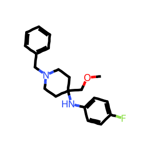 COCC1(Nc2ccc(F)cc2)CCN(Cc2ccccc2)CC1